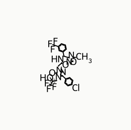 Cc1nc(C(NC(=O)Cn2nc(-c3ccc(Cl)cc3)n(C[C@H](O)C(F)(F)F)c2=O)c2cccc(C(F)(F)F)c2)no1